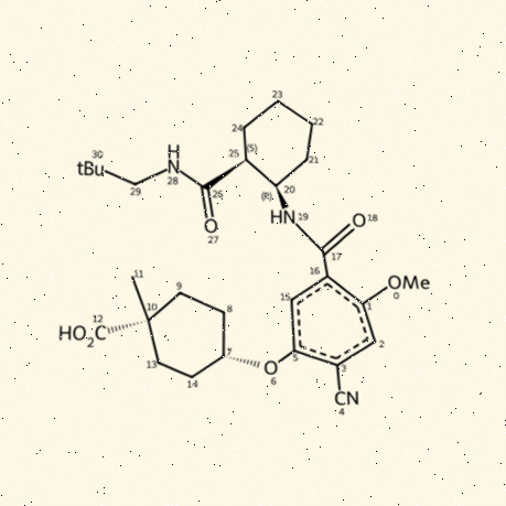 COc1cc(C#N)c(O[C@H]2CC[C@@](C)(C(=O)O)CC2)cc1C(=O)N[C@@H]1CCCC[C@@H]1C(=O)NCC(C)(C)C